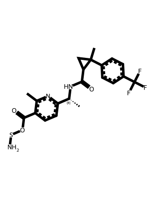 Cc1nc([C@@H](C)NC(=O)C2CC2(C)c2ccc(C(F)(F)F)cc2)ccc1C(=O)OSN